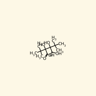 CC(C)(C)C(O)(C(=O)O)C(O)(C(=O)O)C(C)(C)C